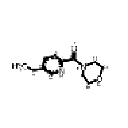 CCc1ccc(C(=O)N2CCOCC2)nc1